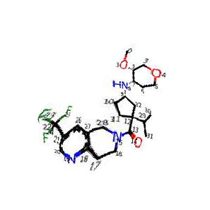 CO[C@@H]1COCC[C@@H]1N[C@H]1CC[C@](C(=O)N2CCc3ncc(C(F)(F)F)cc3C2)(C(C)C)C1